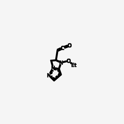 CCON1c2ccnn2CC1C=C=O